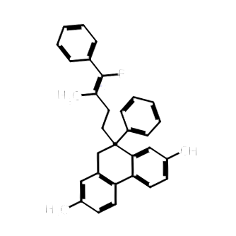 C/C(CCC1(c2ccccc2)Cc2cc(C)ccc2-c2ccc(C)cc21)=C(/F)c1ccccc1